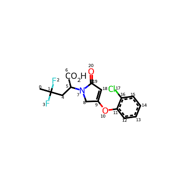 CC(F)(F)CC(C(=O)O)N1CC(Oc2ccccc2Cl)=CC1=O